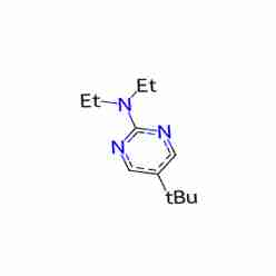 CCN(CC)c1ncc(C(C)(C)C)cn1